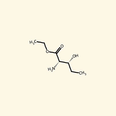 CCOC(=O)[C@@H](N)[C@H](O)CC